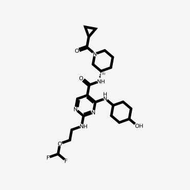 O=C(N[C@H]1CCCN(C(=O)C2CC2)C1)c1cnc(NCCOC(F)F)nc1NC1CCC(O)CC1